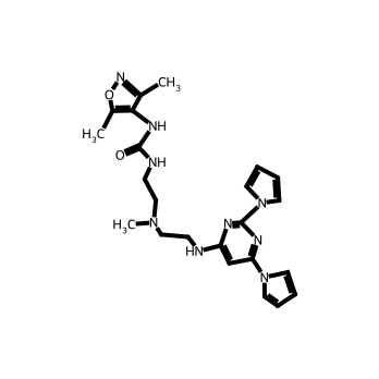 Cc1noc(C)c1NC(=O)NCCN(C)CCNc1cc(-n2cccc2)nc(-n2cccc2)n1